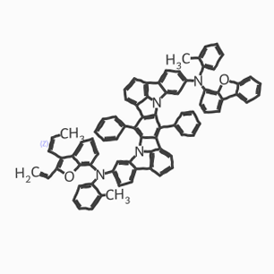 C=Cc1oc2c(N(c3ccc4c5cccc6c7c(-c8ccccc8)c8c(c(-c9ccccc9)c7n(c4c3)c56)c3cccc4c5ccc(N(c6ccccc6C)c6cccc7c6oc6ccccc67)cc5n8c43)c3ccccc3C)cccc2c1/C=C\C